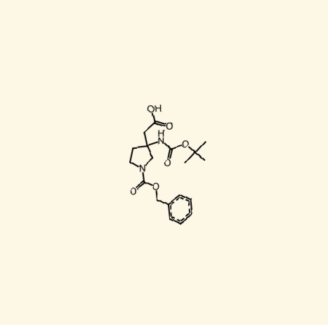 CC(C)(C)OC(=O)NC1(CC(=O)O)CCN(C(=O)OCc2ccccc2)C1